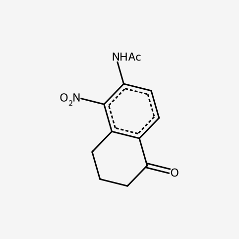 CC(=O)Nc1ccc2c(c1[N+](=O)[O-])CCCC2=O